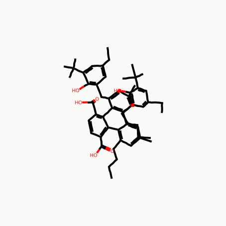 CCCCc1cc(C)cc(Cc2cc(CC)cc(C(C)(C)C)c2O)c1-c1c(C(=O)O)ccc(C(=O)O)c1-c1c(CCCC)cc(C)cc1Cc1cc(CC)cc(C(C)(C)C)c1O